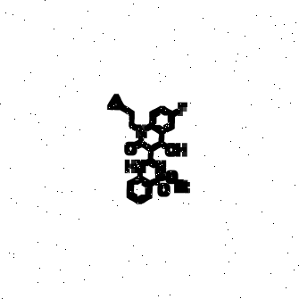 CCOP1(=O)N=C(C2C(=O)N(CCC3CC3)c3ccc(F)cc3C2O)Nc2ccccc21